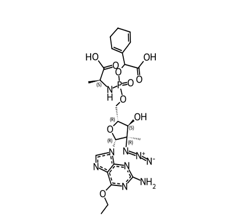 CCOc1nc(N)nc2c1ncn2[C@@H]1O[C@H](COP(=O)(N[C@@H](C)C(=O)O)OC(C(=O)O)C2=CCCC=C2)[C@@H](O)[C@@]1(C)N=[N+]=[N-]